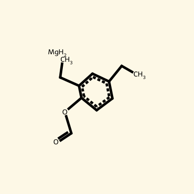 CCc1ccc(OC=O)c(CC)c1.[MgH2]